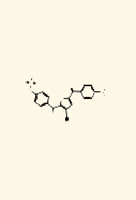 CC(c1ccc(NS(N)(=O)=O)cc1)c1[nH]c(C(=O)c2ccc(N(C)C)cc2)cc1C#N